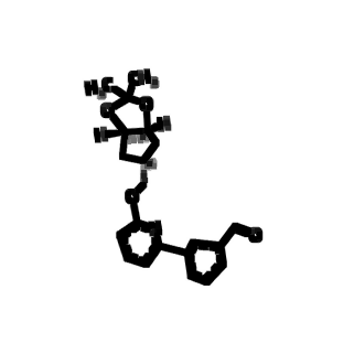 CC1(C)O[C@H]2C[C@@H](COc3cccc(-c4cccc(C=O)c4)n3)C[C@H]2O1